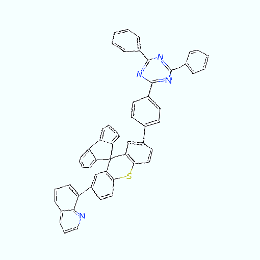 c1ccc(-c2nc(-c3ccccc3)nc(-c3ccc(-c4ccc5c(c4)C4(c6cc(-c7cccc8cccnc78)ccc6S5)c5ccccc5-c5ccccc54)cc3)n2)cc1